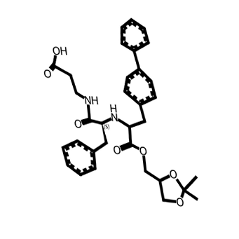 CC1(C)OCC(COC(=O)C(Cc2ccc(-c3ccccc3)cc2)N[C@@H](Cc2ccccc2)C(=O)NCCC(=O)O)O1